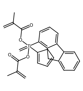 C=C(C)C(=O)[O][Ti](=[CH2])([O]C(=O)C(=C)C)([C]1=CC=CC1)[c]1cccc2c1Cc1ccccc1-2